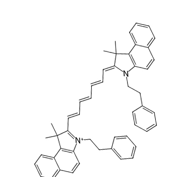 CC1(C)C(=CC=CC=CC=CC2=[N+](CCc3ccccc3)c3ccc4ccccc4c3C2(C)C)N(CCc2ccccc2)c2ccc3ccccc3c21